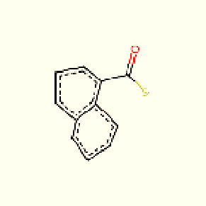 O=C([S])c1cccc2ccccc12